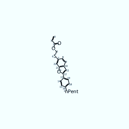 C=CC(=O)OCSc1ccc2cc(-c3ccc(CCCCC)cc3)oc2c1